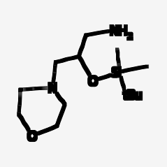 CC(C)(C)[Si](C)(C)OC(CN)CN1CCOCC1